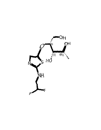 C[C@@H](O)[C@H](O)[C@@H](CO)OC1CN=C(NCC(F)F)S1